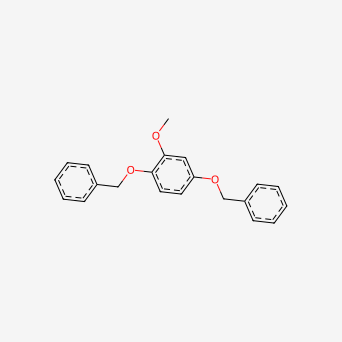 COc1cc(OCc2ccccc2)ccc1OCc1ccccc1